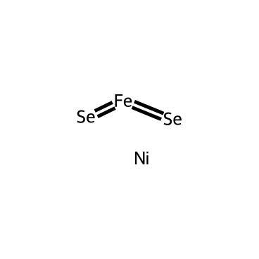 [Ni].[Se]=[Fe]=[Se]